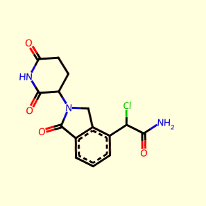 NC(=O)C(Cl)c1cccc2c1CN(C1CCC(=O)NC1=O)C2=O